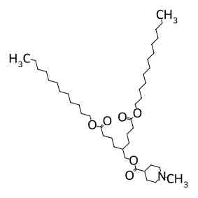 CCCCCCCCCCCCCOC(=O)CCCC(CCCC(=O)OCCCCCCCCCCCC)COC(=O)C1CCN(C)CC1